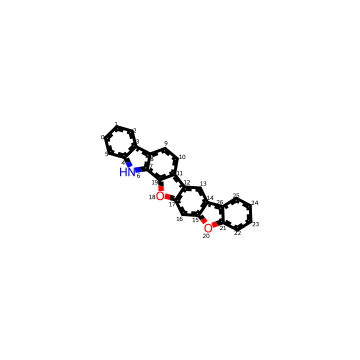 c1ccc2c(c1)[nH]c1c2ccc2c3cc4c(cc3oc21)oc1ccccc14